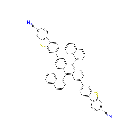 N#Cc1ccc2c(c1)sc1cc(-c3ccc4c(-c5cccc6ccccc56)c5cc(-c6ccc7c(c6)sc6cc(C#N)ccc67)ccc5c(-c5cccc6ccccc56)c4c3)ccc12